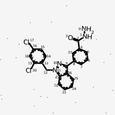 NNC(=O)c1cccc(-c2nn(Cc3ccc(Cl)cc3Cl)c3ccccc23)c1